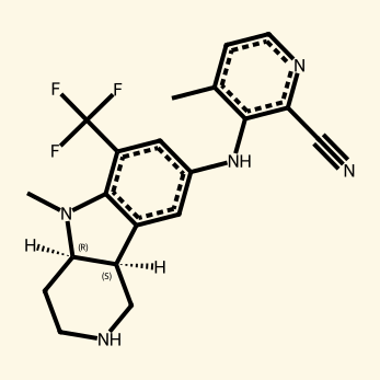 Cc1ccnc(C#N)c1Nc1cc2c(c(C(F)(F)F)c1)N(C)[C@@H]1CCNC[C@H]21